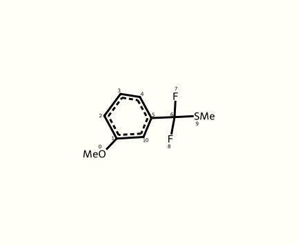 COc1cccc(C(F)(F)SC)c1